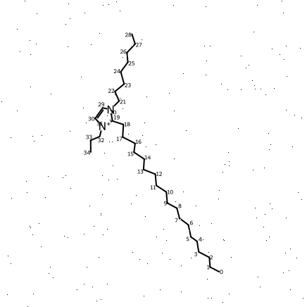 CCCCCCCCCCCCCCCCCCCc1n(CCCCCCCC)cc[n+]1CCC